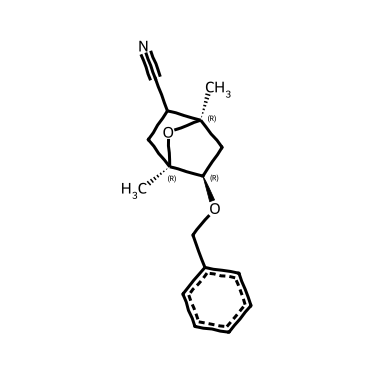 C[C@@]12C[C@@H](OCc3ccccc3)[C@@](C)(CC1C#N)O2